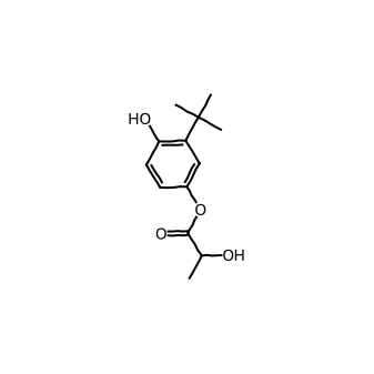 CC(O)C(=O)Oc1ccc(O)c(C(C)(C)C)c1